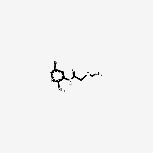 Nc1ncc(Br)cc1NC(=O)COCC(F)(F)F